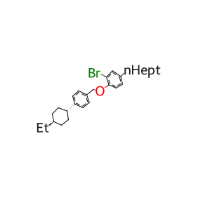 CCCCCCCc1ccc(OCc2ccc([C@H]3CC[C@H](CC)CC3)cc2)c(Br)c1